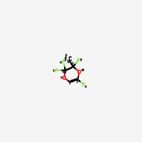 FC1=COC(F)(F)C(F)(C(F)(F)F)O1